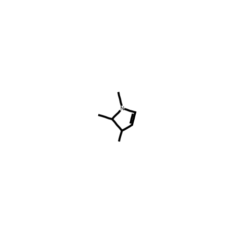 CC1C=CN(C)C1C